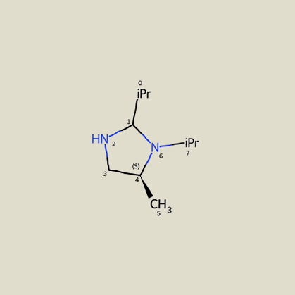 CC(C)C1NC[C@H](C)N1C(C)C